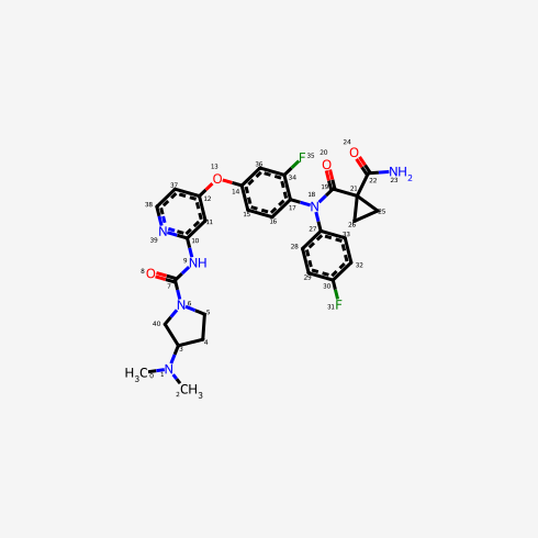 CN(C)C1CCN(C(=O)Nc2cc(Oc3ccc(N(C(=O)C4(C(N)=O)CC4)c4ccc(F)cc4)c(F)c3)ccn2)C1